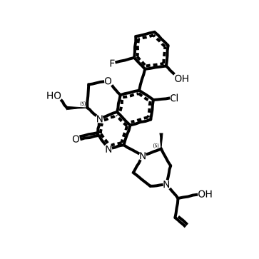 C=CC(O)N1CCN(c2nc(=O)n3c4c(c(-c5c(O)cccc5F)c(Cl)cc24)OC[C@@H]3CO)[C@@H](C)C1